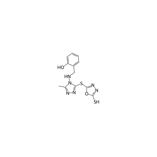 Cc1nnc(Sc2nnc(S)o2)n1NCc1ccccc1O